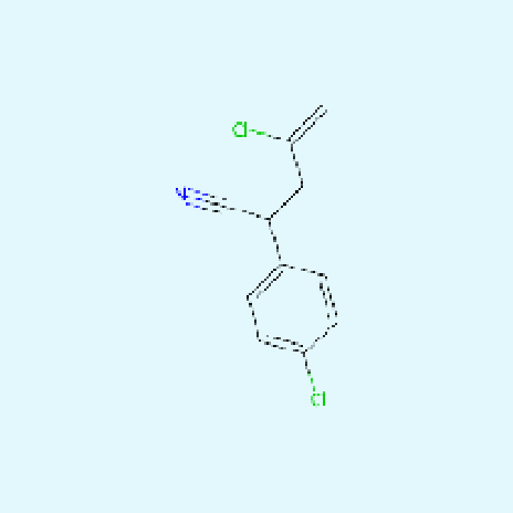 C=C(Cl)CC(C#N)c1ccc(Cl)cc1